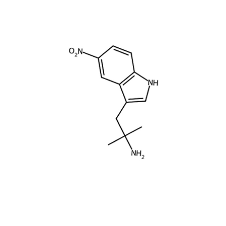 CC(C)(N)Cc1c[nH]c2ccc([N+](=O)[O-])cc12